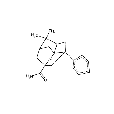 CC1(C)C2CC3(C(N)=O)CC4(c5ccccc5)CC1C4(C2)C3